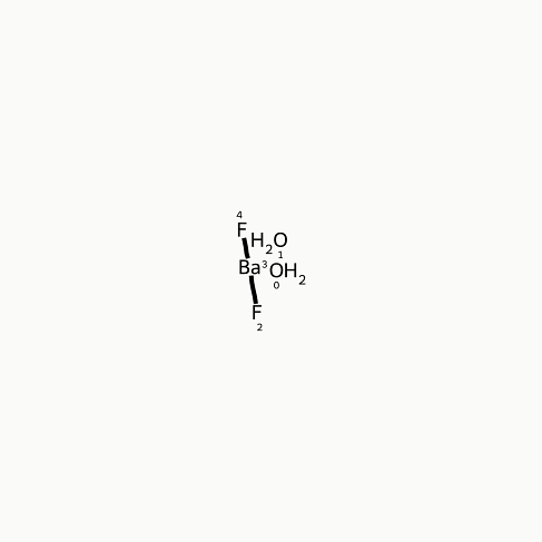 O.O.[F][Ba][F]